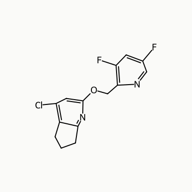 Fc1cnc(COc2cc(Cl)c3c(n2)CCC3)c(F)c1